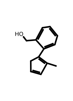 CC1=C(c2ccccc2CO)CC=C1